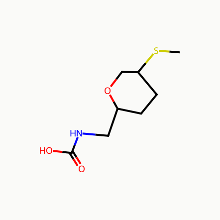 CSC1CCC(CNC(=O)O)OC1